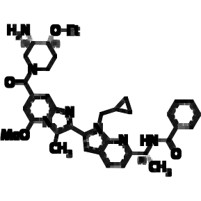 CCO[C@@H]1CCN(C(=O)c2cc(OC)n3c(C)c(-c4cc5ccc([C@@H](C)NC(=O)c6ccccc6)nc5n4CC4CC4)nc3c2)C[C@@H]1N